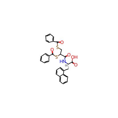 O=C(SCC(SC(=O)c1ccccc1)C(=O)N[C@@H](Cc1cccc2ccccc12)C(=O)O)c1ccccc1